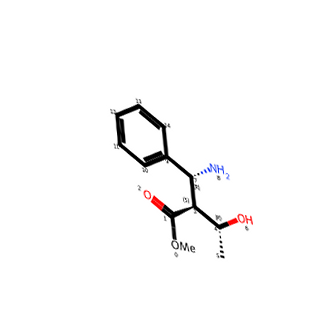 COC(=O)[C@H]([C@@H](C)O)[C@@H](N)c1ccccc1